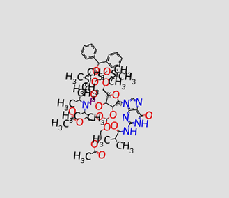 COP(OC1C(OC(OCCOC(C)=O)OCCOC(C)=O)[C@H](n2cnc3c(=O)[nH]c(NC(=O)C(C)C)nc32)O[C@@H]1CO[Si](OC(c1ccccc1)c1ccccc1)(O[Si](C)(C)C)O[Si](C)(C)C)N(C(C)C)C(C)C